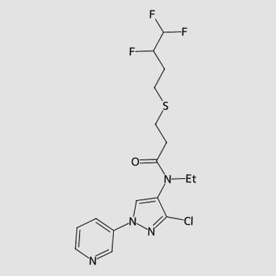 CCN(C(=O)CCSCCC(F)C(F)F)c1cn(-c2cccnc2)nc1Cl